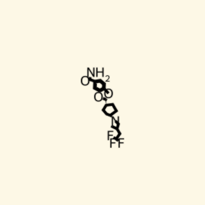 NC(=O)c1ccc2c(c1)OC([C@H]1CC[C@H](N3CC(CC(F)(F)F)C3)CC1)O2